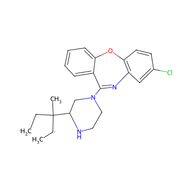 [CH2]CC(C)([CH]C)C1CN(C2=Nc3cc(Cl)ccc3Oc3ccccc32)CCN1